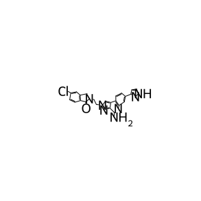 Nc1nc2cc(-c3cc[nH]n3)ccc2c2cn(CCN3Cc4cc(Cl)ccc4C3=O)nc12